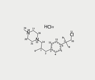 CC(Cc1ccc(C(C)(C)CCl)cc1)CN1CCN(C)CC1.Cl